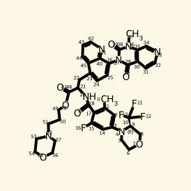 Cc1cc(N2CCOC[C@@H]2C(F)(F)F)cc(F)c1C(=O)NC(Cc1ccc(-n2c(=O)c3ccncc3n(C)c2=O)c2ncccc12)C(=O)OCCCN1CCOCC1